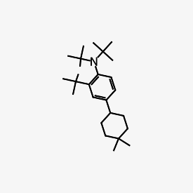 CC1(C)CCC(c2ccc(N(C(C)(C)C)C(C)(C)C)c(C(C)(C)C)c2)CC1